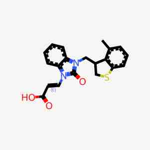 Cc1cccc2c1C(Cn1c(=O)n(/C=C/C(=O)O)c3ccccc31)CS2